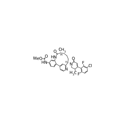 COC(=O)Nc1ccc2c(c1)NC(=O)[C@H](C)CCC[C@H](N1CC(C)C(c3c(F)ccc(Cl)c3F)=CC1=O)c1cc-2ccn1